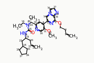 C=CCCOc1nc(-c2cc([C@@H](C)N(CC)C(=O)NC(CC=C)CC3CCCC3)ncc2OC)cn2ccnc12